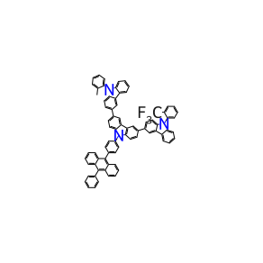 Cc1ccccc1-n1c2ccccc2c2cc(-c3ccc4c(c3)c3cc(-c5ccc6c(c5)c5ccccc5n6-c5ccccc5C(F)(F)F)ccc3n4-c3ccc(-c4c5ccccc5c(-c5ccccc5)c5ccccc45)cc3)ccc21